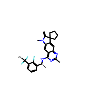 C=C1N(C)c2cc3c(N[C@H](C)c4cccc(C(F)(F)C(C)C)c4F)nc(C)nc3cc2C12CCCC2